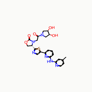 Cc1ccnc(Nc2cccc(-c3cnc([C@@H]4COC(=O)N4CC(=O)N4C[C@@H](O)[C@@H](O)C4)s3)n2)c1